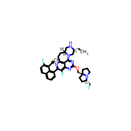 C#Cc1c(F)ccc2cccc(-c3nc4c5c(nc(OC[C@@]67CCCN6[C@H](CF)CC7)nc5c3F)N3C[C@@H](CC)NC[C@H]3CC4)c12